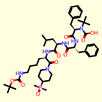 CC(C)C[C@@H](NC(=O)[C@@H](Cc1ccccc1)NC(=O)[C@@H](Cc1ccccc1)N(C(=O)O)C(C)(C)C)C(=O)N[C@H](CCCCNC(=O)OC(C)(C)C)C(=O)N1CCC(P(C)(C)=O)CC1